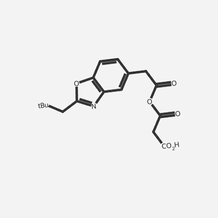 CC(C)(C)Cc1nc2cc(CC(=O)OC(=O)CC(=O)O)ccc2o1